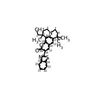 CCC1(C)CCN2CCC(C)(C)c3cc4cc(-c5nc6ccccc6s5)c(=O)oc4c1c32